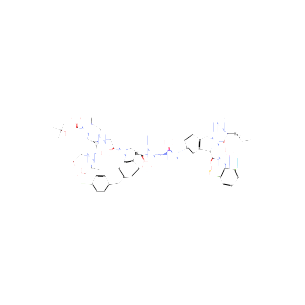 CC[C@H](C)C(NC)C(=O)N1Cc2ccc(NC(=O)CNC(=O)[C@]3(C)CN(C(=O)CN4CC(C)N(C(=O)OC(C)(C)C)C[C@@H]4CN4CCOCC4C)c4cc(Cc5ccc(F)cc5)ccc43)cc2C1C(=O)Nc1c(F)cccc1F